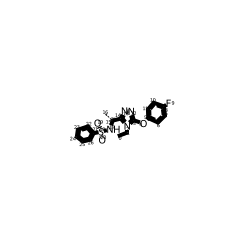 CCn1c(Oc2ccc(F)cc2)nnc1[C@@H](C)NS(=O)(=O)c1ccccc1